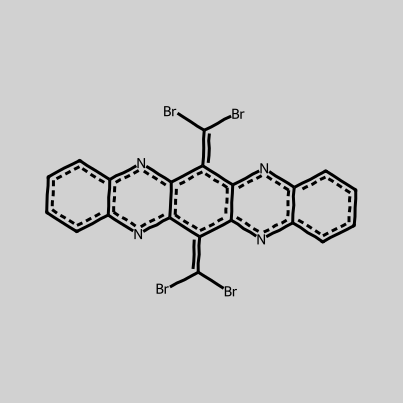 BrC(Br)=c1c2nc3ccccc3nc2c(=C(Br)Br)c2nc3ccccc3nc12